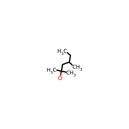 CCC(C)CC(C)(C)[O]